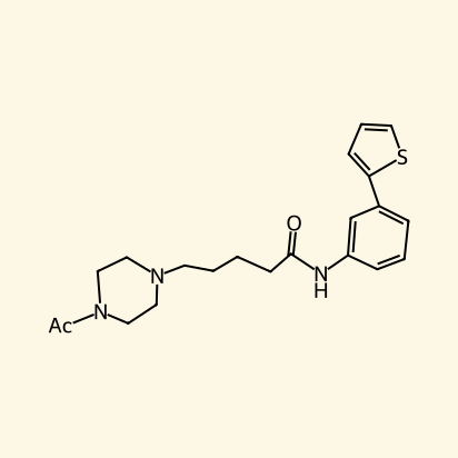 CC(=O)N1CCN(CCCCC(=O)Nc2cccc(-c3cccs3)c2)CC1